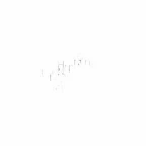 CC(Nc1ccccc1NC1CCN(C(=O)OCc2ccccc2)CC1)c1ccc(Cl)cc1F